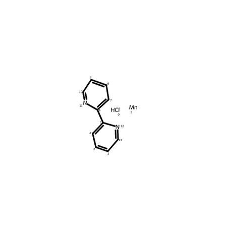 Cl.[Mn].c1ccc(-c2ccccn2)nc1